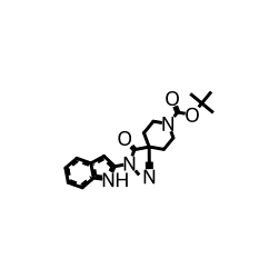 CN(C(=O)C1(C#N)CCN(C(=O)OC(C)(C)C)CC1)c1cc2ccccc2[nH]1